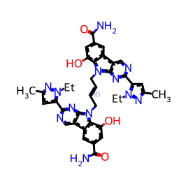 CCn1nc(C)cc1-c1ncc2c3cc(C(N)=O)cc(O)c3n(C/C=C/Cn3c4nc(-c5cc(C)nn5CC)ncc4c4cc(C(N)=O)cc(O)c43)c2n1